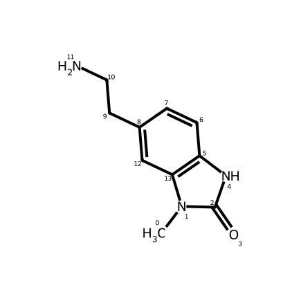 Cn1c(=O)[nH]c2ccc(CCN)cc21